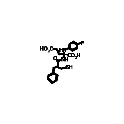 O=C(O)CC[C@@](NC(=O)C(CS)Cc1ccccc1)(Nc1ccc(F)cc1)C(=O)O